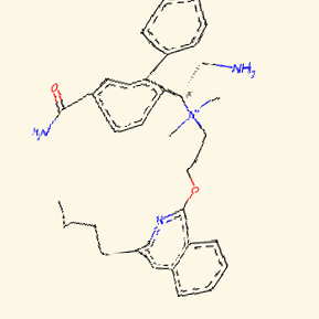 CCCCc1cc2ccccc2c(OCC[N+](C)(C)[C@@H](CN)c2ccc(C(N)=O)cc2-c2ccccc2)n1